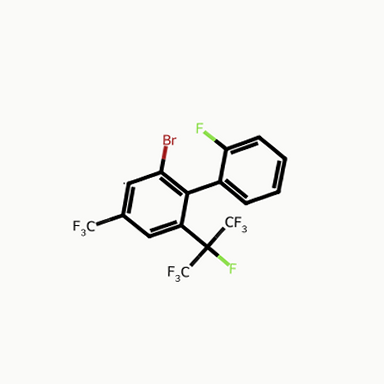 Fc1ccccc1-c1c(Br)[c]c(C(F)(F)F)cc1C(F)(C(F)(F)F)C(F)(F)F